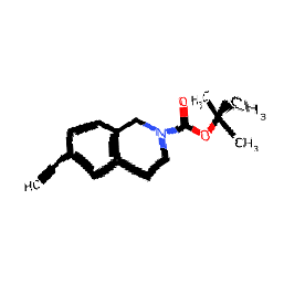 C#Cc1ccc2c(c1)CCN(C(=O)OC(C)(C)C)C2